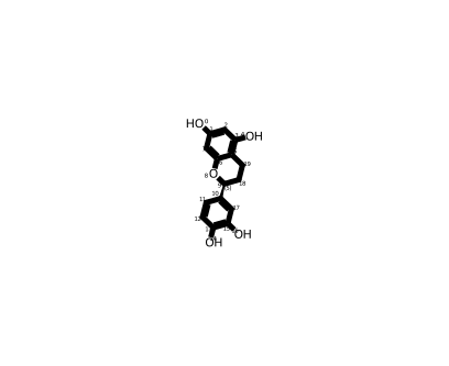 Oc1cc(O)c2c(c1)O[C@H](c1ccc(O)c(O)c1)CC2